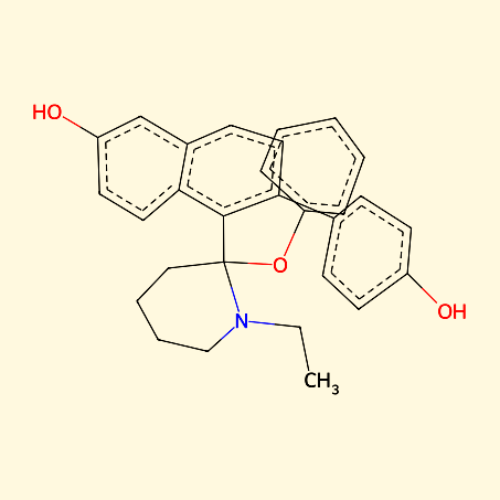 CCN1CCCCC1(Oc1ccccc1)c1c(-c2ccc(O)cc2)ccc2cc(O)ccc12